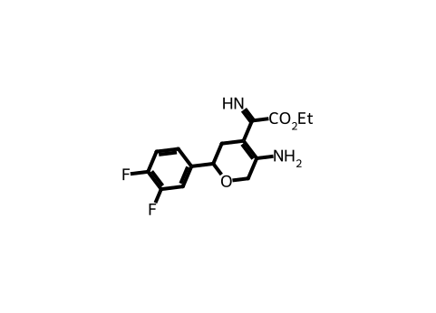 CCOC(=O)C(=N)C1=C(N)COC(c2ccc(F)c(F)c2)C1